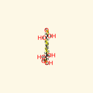 O=[S]C[C@@H](O)[C@H](O)CSSCCSSC[C@@H](O)[C@H](O)CS(=O)O